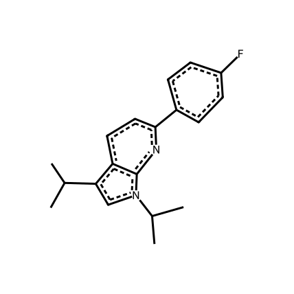 CC(C)c1cn(C(C)C)c2nc(-c3ccc(F)cc3)ccc12